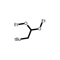 CCOC(CC(C)(C)C)OCC